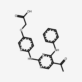 CC(=O)c1cnc(Nc2ccc(OCC(=O)O)cn2)nc1Nc1ccccc1